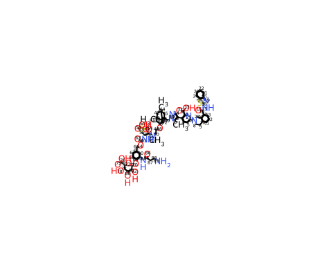 Cc1c(-c2ccc(N3CCc4cccc(C(=O)Nc5nc6ccccc6s5)c4C3)nc2C(=O)O)cnn1CC12CC3(C)CC(C)(C1)CC(OCCN(C)C(=O)[C@H](CS(=O)(=O)O)NC(=O)OCc1ccc(O[C@@H]4O[C@H](C(=O)O)[C@@H](O)[C@H](O)[C@H]4O)c(NC(=O)CCN)c1)(C3)C2